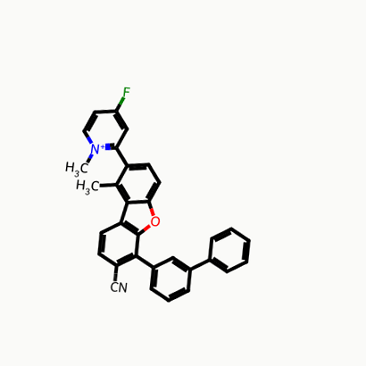 Cc1c(-c2cc(F)cc[n+]2C)ccc2oc3c(-c4cccc(-c5ccccc5)c4)c(C#N)ccc3c12